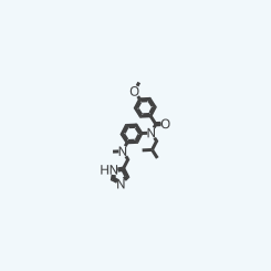 COc1ccc(C(=O)N(CC(C)C)c2cccc(N(C)Cc3cnc[nH]3)c2)cc1